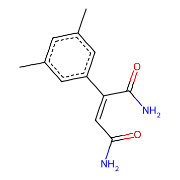 Cc1cc(C)cc(C(=CC(N)=O)C(N)=O)c1